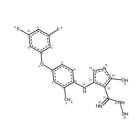 Cc1cc(Oc2cc(F)cc(F)c2)ccc1Nc1snc(O)c1C(=N)NO